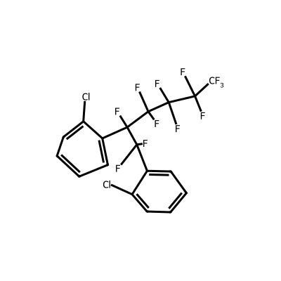 FC(F)(F)C(F)(F)C(F)(F)C(F)(F)C(F)(c1ccccc1Cl)C(F)(F)c1ccccc1Cl